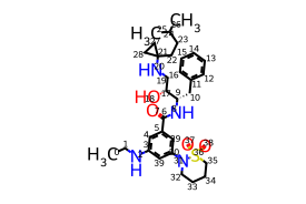 CCNc1cc(C(=O)N[C@@H](Cc2ccccc2)[C@H](O)CNC2(CCC(C)C)CC2)cc(N2CCCCS2(=O)=O)c1